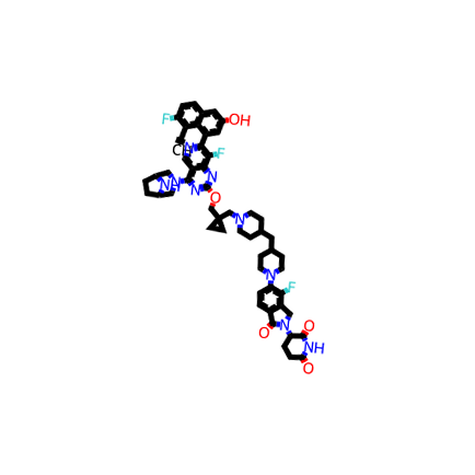 C#Cc1c(F)ccc2cc(O)cc(-c3ncc4c(N5CC6CCC(C5)N6)nc(OCC5(CN6CCC(CC7CCN(c8ccc9c(c8F)CN(C8CCC(=O)NC8=O)C9=O)CC7)CC6)CC5)nc4c3F)c12